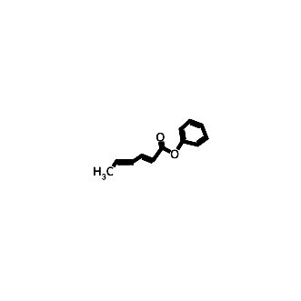 CC=CC=CC(=O)Oc1ccccc1